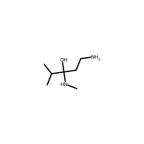 CNC(O)(CCN)C(C)C